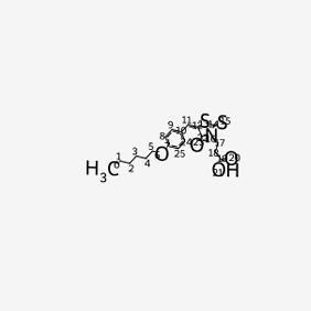 CCCCCCOc1ccc(C=C2SC(=S)N(CCC(=O)O)C2=O)cc1